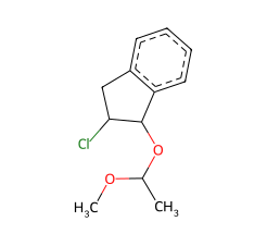 COC(C)OC1c2ccccc2CC1Cl